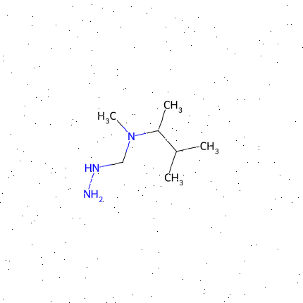 CC(C)C(C)N(C)CNN